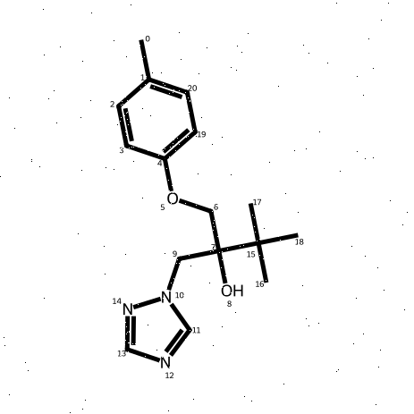 Cc1ccc(OCC(O)(Cn2cncn2)C(C)(C)C)cc1